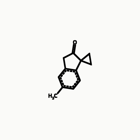 Cc1ccc2c(c1)CC(=O)C21CC1